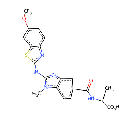 CC(NC(=O)c1ccc2c(c1)nc(Nc1nc3ccc(OC(F)(F)F)cc3s1)n2C)C(=O)O